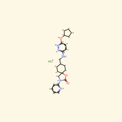 Cl.O=C1OC2(CCC(CNc3ccc(OC4CCCC4)nn3)CC2)CN1c1ccccn1